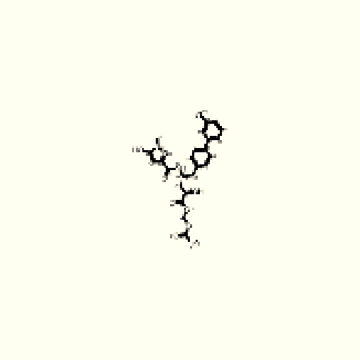 CCCC(=O)OCOC(=O)C(O)C[C@@H](Cc1ccc(-c2cccc(Cl)c2)cc1)NC(=O)c1cc(O)n(C)n1